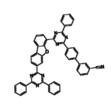 N#Cc1cccc(-c2ccc(-c3nc(-c4ccccc4)nc(-c4cccc5c4oc4cc(-c6nc(-c7ccccc7)nc(-c7ccccc7)n6)ccc45)n3)cc2)c1